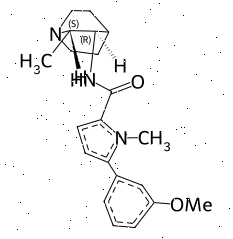 COc1cccc(-c2ccc(C(=O)N[C@@H]3C4CCN(CC4)[C@H]3C)n2C)c1